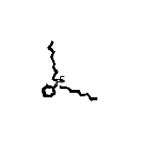 CCCCCCCCP(=S)(CCCCCCCC)c1ccccc1